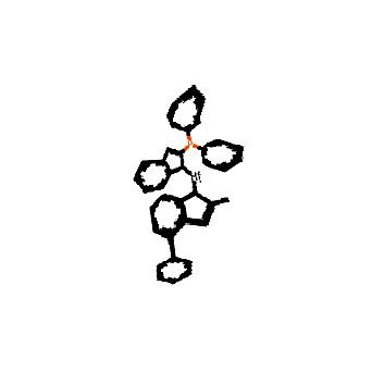 CC1=Cc2c(-c3ccccc3)cccc2[CH]1[Hf][CH]1C(P(c2ccccc2)c2ccccc2)=Cc2ccccc21